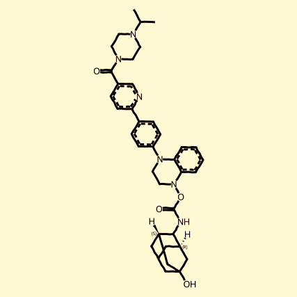 CC(C)N1CCN(C(=O)c2ccc(-c3ccc(N4CCN(OC(=O)NC5[C@@H]6CC7C[C@H]5CC(O)(C7)C6)c5ccccc54)cc3)nc2)CC1